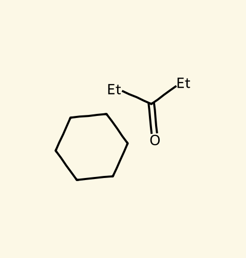 C1CCCCC1.CCC(=O)CC